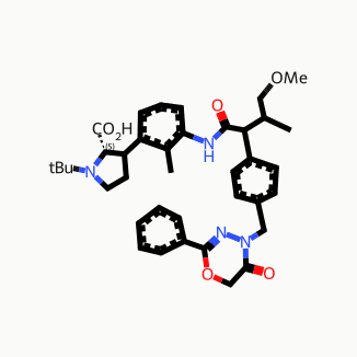 COCC(C)C(C(=O)Nc1cccc(C2CCN(C(C)(C)C)[C@@H]2C(=O)O)c1C)c1ccc(CN2N=C(c3ccccc3)OCC2=O)cc1